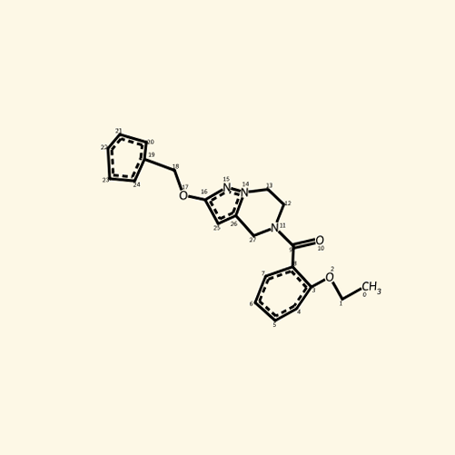 CCOc1ccccc1C(=O)N1CCn2nc(OCc3ccccc3)cc2C1